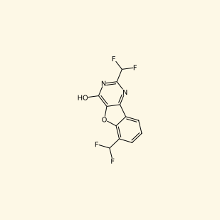 Oc1nc(C(F)F)nc2c1oc1c(C(F)F)cccc12